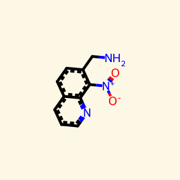 NCc1ccc2cccnc2c1[N+](=O)[O-]